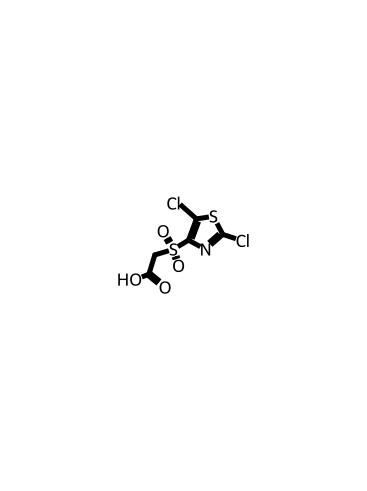 O=C(O)CS(=O)(=O)c1nc(Cl)sc1Cl